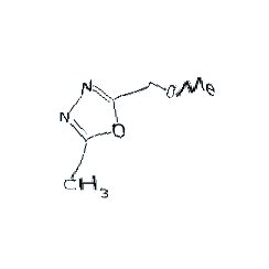 COCc1nnc(C)o1